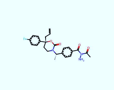 C=CC[C@]1(c2ccc(F)cc2)CCN([C@@H](C)c2ccc(C(=O)N(N)C(C)=O)cc2)C(=O)O1